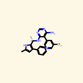 Cc1cc(-c2ccccc2)c([C@H](C)Nc2ncnc(N)c2-c2cncc(C(F)(F)F)c2)[nH]1